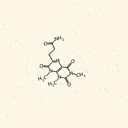 Cn1c(=O)c2nc(CCC(N)=O)c(=O)n(C)c2n(C)c1=O